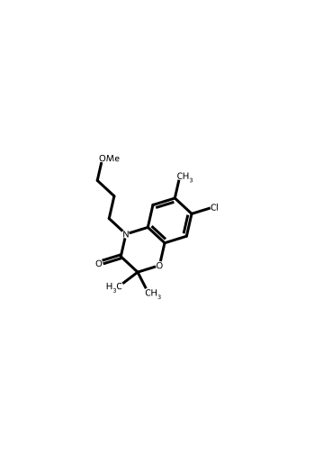 COCCCN1C(=O)C(C)(C)Oc2cc(Cl)c(C)cc21